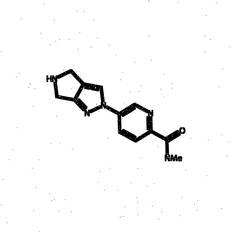 CNC(=O)c1ccc(-n2cc3c(n2)CNC3)cn1